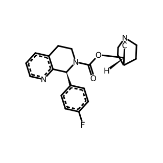 O=C(O[C@@H]1CN2CCC1CC2)N1CCc2cccnc2[C@@H]1c1ccc(F)cc1